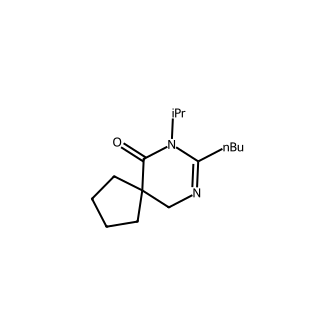 CCCCC1=NCC2(CCCC2)C(=O)N1C(C)C